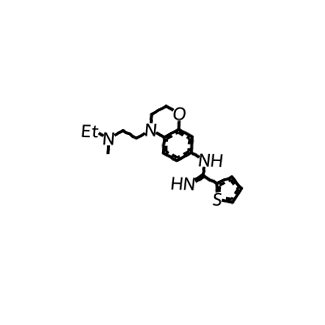 CCN(C)CCN1CCOc2cc(NC(=N)c3cccs3)ccc21